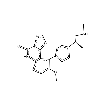 CNC[C@@H](C)c1ccc(-c2c(OC)ccc3[nH]c(=O)c4sccc4c23)cc1